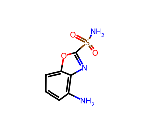 Nc1cccc2oc(S(N)(=O)=O)nc12